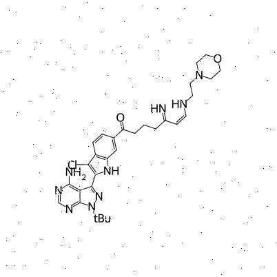 CC(C)(C)n1nc(-c2[nH]c3cc(C(=O)CCCC(=N)/C=C\NCCN4CCOCC4)ccc3c2Cl)c2c(N)ncnc21